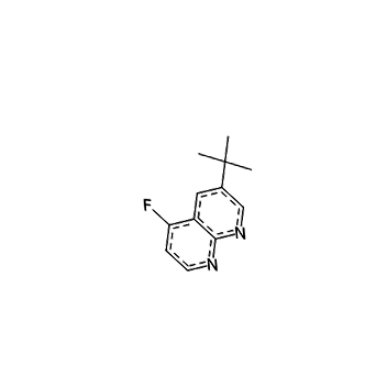 CC(C)(C)c1cnc2nccc(F)c2c1